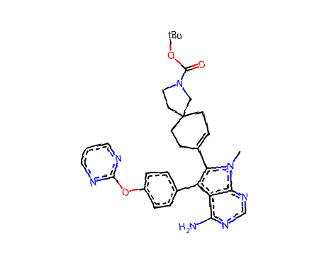 Cn1c(C2=CCC3(CC2)CCN(C(=O)OC(C)(C)C)C3)c(-c2ccc(Oc3ncccn3)cc2)c2c(N)ncnc21